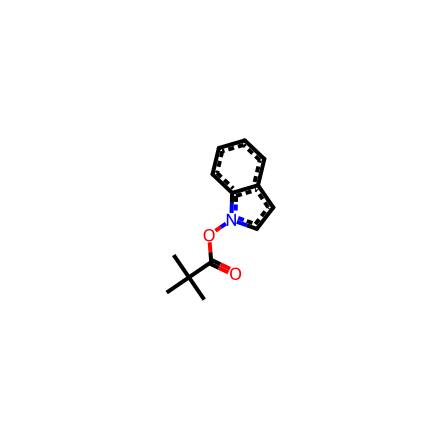 CC(C)(C)C(=O)On1ccc2ccccc21